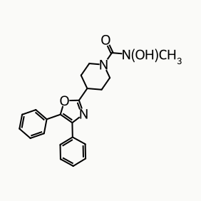 CN(O)C(=O)N1CCC(c2nc(-c3ccccc3)c(-c3ccccc3)o2)CC1